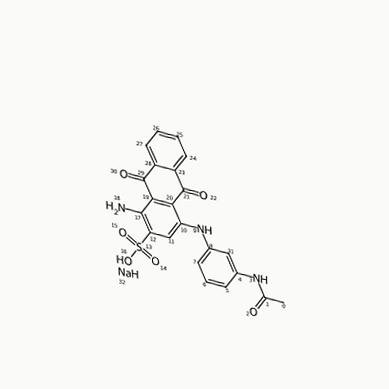 CC(=O)Nc1cccc(Nc2cc(S(=O)(=O)O)c(N)c3c2C(=O)c2ccccc2C3=O)c1.[NaH]